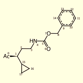 CC(=O)[C@@H](CCNC(=O)OCc1ccccc1)C1CC1